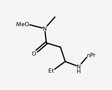 CCCNC(CC)CC(=O)N(C)OC